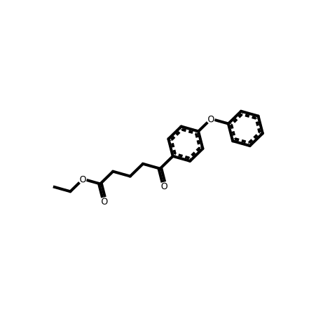 CCOC(=O)CCCC(=O)c1ccc(Oc2ccccc2)cc1